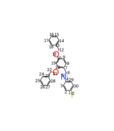 Fc1ccc(/N=C/c2ccc(OCc3ccccc3)cc2OCc2ccccc2)cc1